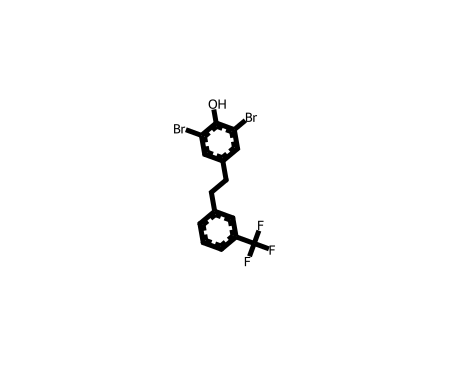 Oc1c(Br)cc(CCc2cccc(C(F)(F)F)c2)cc1Br